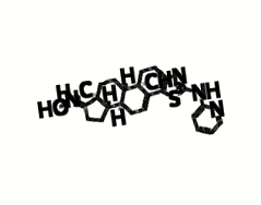 C[C@]12CCc3nc(Nc4ccccn4)sc3C1=CC[C@@H]1[C@@H]2CC[C@]2(C)/C(=N/O)CC[C@@H]12